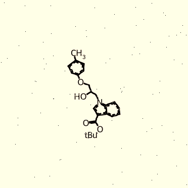 Cc1ccc(OCC(O)Cn2cc(C(=O)OC(C)(C)C)c3ccccc32)cc1